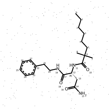 CCCCCCC(C)(C)C(=O)N[C@H](CC(N)=O)C(=O)NCCc1ccccc1